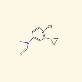 CN(C=S)c1ccc(C#N)c(C2CC2)c1